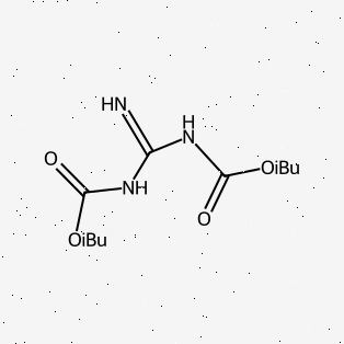 CC(C)COC(=O)NC(=N)NC(=O)OCC(C)C